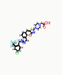 O=C(O)CN1CCN(C2=NC(=O)C(=Cc3ccc4c(cnn4Cc4ccc(Cl)cc4C(F)(F)F)c3)S2)CC1